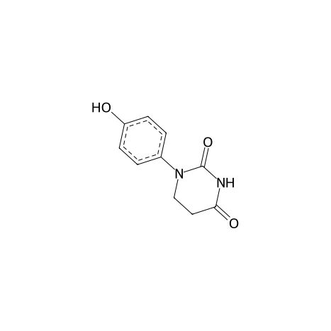 O=C1CCN(c2ccc(O)cc2)C(=O)N1